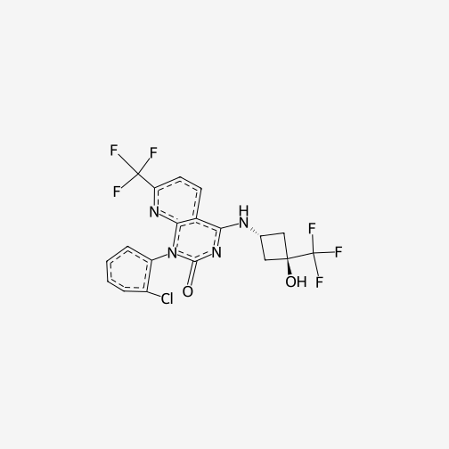 O=c1nc(N[C@H]2C[C@@](O)(C(F)(F)F)C2)c2ccc(C(F)(F)F)nc2n1-c1ccccc1Cl